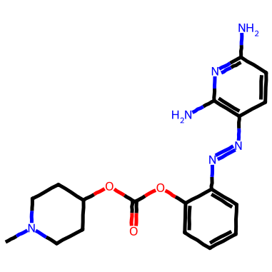 CN1CCC(OC(=O)Oc2ccccc2/N=N/c2ccc(N)nc2N)CC1